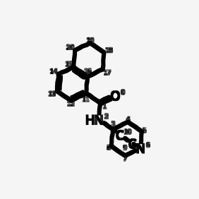 O=C(NC12CCN(CC1)CC2)c1cccc2c1CCCC2